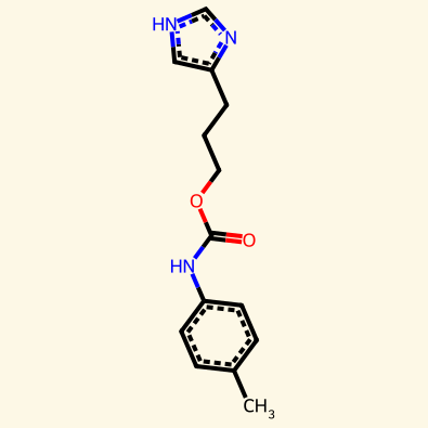 Cc1ccc(NC(=O)OCCCc2c[nH]cn2)cc1